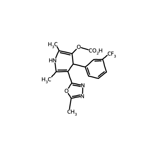 CC1=C(OC(=O)O)C(c2cccc(C(F)(F)F)c2)C(c2nnc(C)o2)=C(C)N1